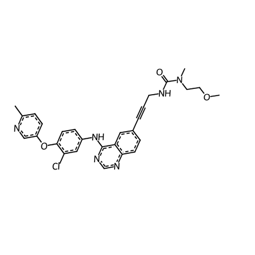 COCCN(C)C(=O)NCC#Cc1ccc2ncnc(Nc3ccc(Oc4ccc(C)nc4)c(Cl)c3)c2c1